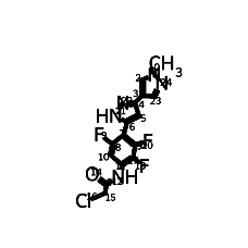 Cn1cc(-c2cc(-c3c(F)cc(NC(=O)CCl)c(F)c3F)[nH]n2)cn1